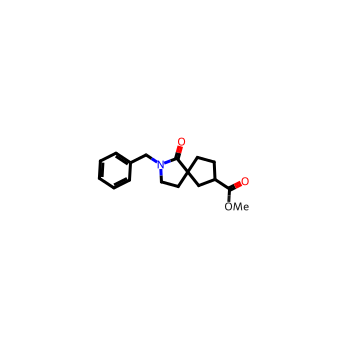 COC(=O)C1CCC2(CCN(Cc3ccccc3)C2=O)C1